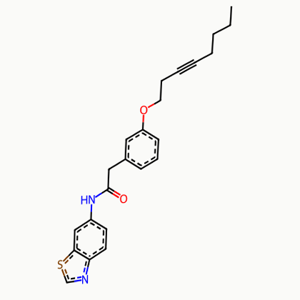 CCCCC#CCCOc1cccc(CC(=O)Nc2ccc3ncsc3c2)c1